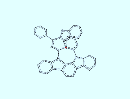 c1ccc(-c2nc(-n3c4ccccc4c4ccc5c6ccccc6n(-c6ccccc6)c5c43)nc3c2sc2ccccc23)cc1